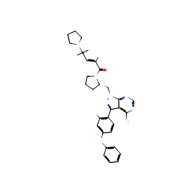 CC(C)(C=C(C#N)C(=O)N1CCC[C@@H]1Cn1nc(-c2ccc(Oc3ccccc3)cc2F)c2c(N)ncnc21)N1CCCC1